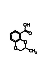 CC1COc2cccc(C(=O)O)c2O1